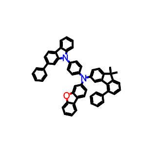 CC1(C)c2ccc(N(c3ccc(-n4c5ccccc5c5ccc(-c6ccccc6)cc54)cc3)c3ccc4c(c3)oc3ccccc34)cc2-c2c(-c3ccccc3)cccc21